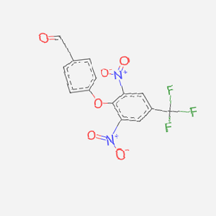 O=Cc1ccc(Oc2c([N+](=O)[O-])cc(C(F)(F)F)cc2[N+](=O)[O-])cc1